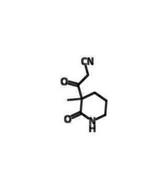 CC1(C(=O)CC#N)CCCNC1=O